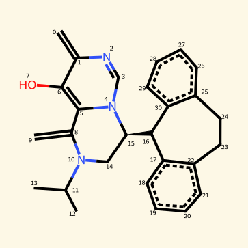 C=C1N=CN2C(=C1O)C(=C)N(C(C)C)C[C@@H]2C1c2ccccc2CCc2ccccc21